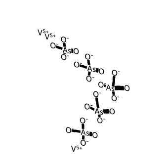 O=[As]([O-])([O-])[O-].O=[As]([O-])([O-])[O-].O=[As]([O-])([O-])[O-].O=[As]([O-])([O-])[O-].O=[As]([O-])([O-])[O-].[V+5].[V+5].[V+5]